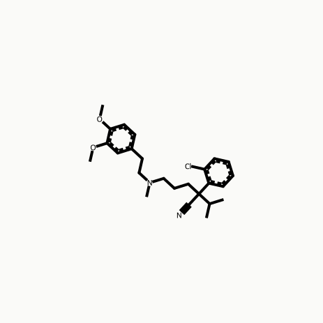 COc1ccc(CCN(C)CCCC(C#N)(c2ccccc2Cl)C(C)C)cc1OC